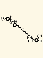 Cc1ccc(NC(=O)Nc2cccc(CCCCOCCCCCCNCC(O)c3ccc(O)c(CO)c3)c2)cc1